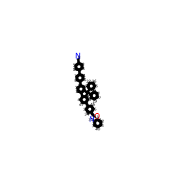 N#Cc1ccc(-c2ccc(-c3ccc4c(c3)C(c3ccccc3)(c3ccccc3)c3cc(-c5ccc(-c6nc7ccccc7o6)cc5)ccc3-4)cc2)cc1